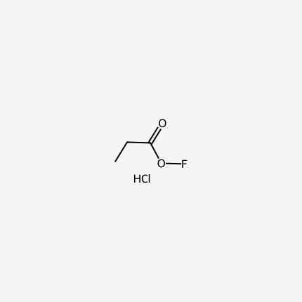 CCC(=O)OF.Cl